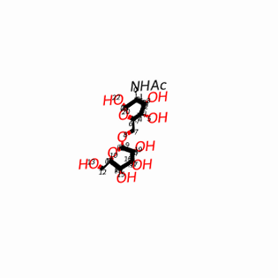 CC(=O)N[C@@H]1[C@@H](O)[C@@H](O)[C@@H](CO[C@@H]2O[C@H](CO)[C@H](O)[C@H](O)[C@H]2O)O[C@H]1O